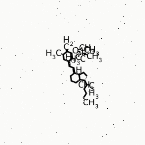 C=C1[C@H](C)C/C(=C/C=C2\CCC[C@]3(C)[C@@H]([C@@H](C)CCCC)CC[C@@H]23)C[C@H]1O[Si](C)(C)C(C)(C)C